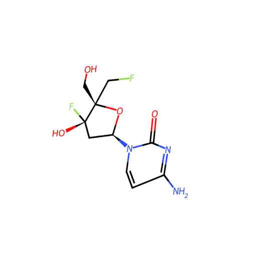 Nc1ccn([C@H]2C[C@](O)(F)[C@](CO)(CF)O2)c(=O)n1